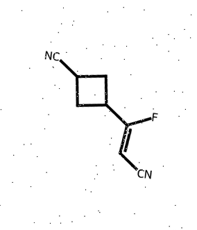 N#CC=C(F)C1CC(C#N)C1